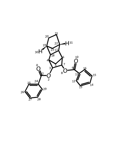 O=C(OC1C2CC(C1OC(=O)c1ccccc1)C1C2[C@@H]2CC[C@H]1C2)c1ccccc1